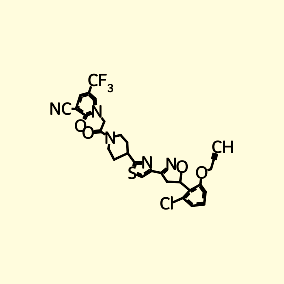 C#CCOc1cccc(Cl)c1C1CC(c2csc(C3CCN(C(=O)Cn4cc(C(F)(F)F)cc(C#N)c4=O)CC3)n2)=NO1